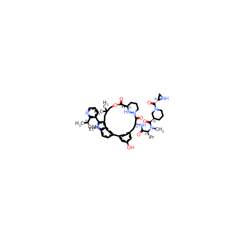 CCn1c(-c2cccnc2[C@H](C)OC)c2c3cc(ccc31)-c1cc(O)cc(c1)C[C@H](NC(=O)[C@H](C(C)C)N(C)C(=O)[C@@H]1CCCN(C(=O)[C@@H]3CN3)C1)C(=O)N1CCC[C@H](N1)C(=O)OCC(C)(C)C2